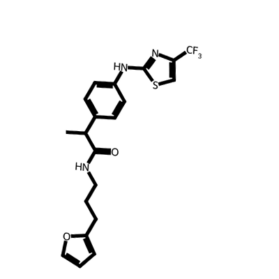 CC(C(=O)NCCCc1ccco1)c1ccc(Nc2nc(C(F)(F)F)cs2)cc1